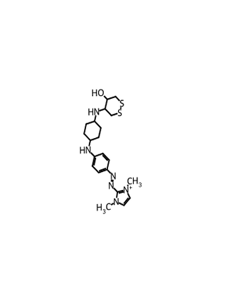 Cn1cc[n+](C)c1/N=N/c1ccc(NC2CCC(NC3CSSCC3O)CC2)cc1